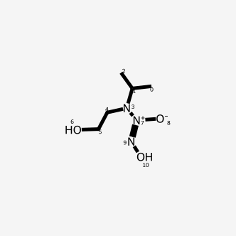 CC(C)N(CCO)[N+]([O-])=NO